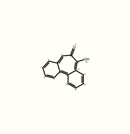 O=c1cc2ccccc2c2ccccc2c1O